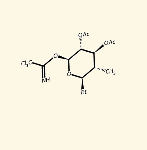 CC[C@H]1O[C@@H](OC(=N)C(Cl)(Cl)Cl)[C@H](OC(C)=O)[C@@H](OC(C)=O)[C@@H]1C